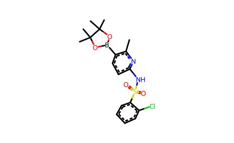 Cc1nc(NS(=O)(=O)c2ccccc2Cl)ccc1B1OC(C)(C)C(C)(C)O1